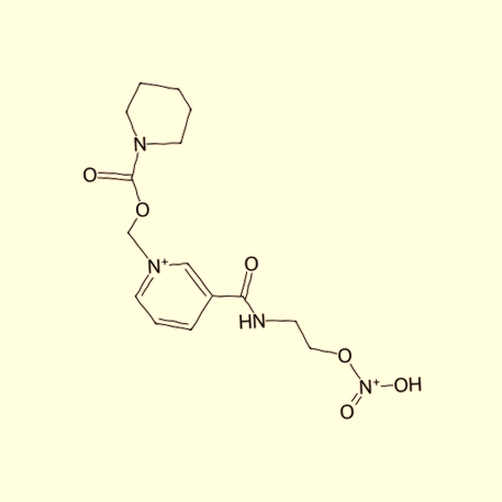 O=C(NCCO[N+](=O)O)c1ccc[n+](COC(=O)N2CCCCC2)c1